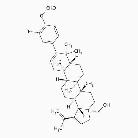 C=C(C)[C@@H]1CC[C@]2(CO)CC[C@]3(C)[C@H](CC[C@@H]4[C@@]5(C)CC=C(c6ccc(OC=O)c(F)c6)C(C)(C)[C@@H]5CC[C@]43C)[C@@H]12